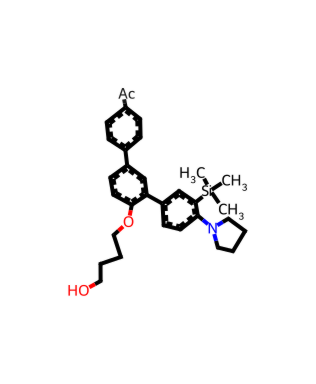 CC(=O)c1ccc(-c2ccc(OCCCCO)c(-c3ccc(N4CCCC4)c([Si](C)(C)C)c3)c2)cc1